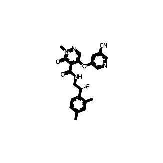 Cc1ccc([C@@H](F)CNC(=O)c2c(Oc3cncc(C#N)c3)cnn(C)c2=O)c(C)c1